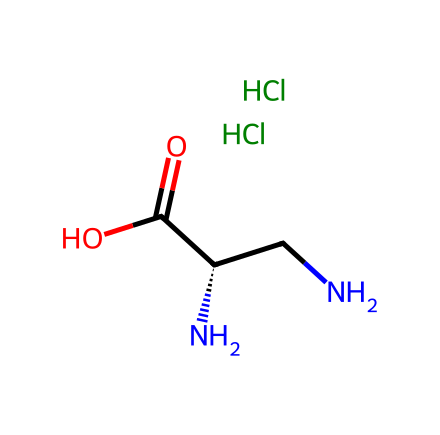 Cl.Cl.NC[C@H](N)C(=O)O